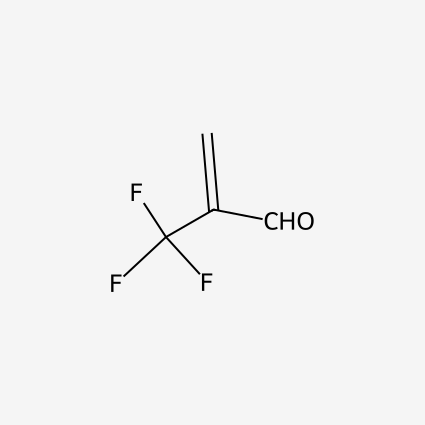 C=C(C=O)C(F)(F)F